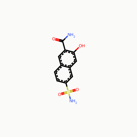 NC(=O)c1cc2ccc(S(N)(=O)=O)cc2cc1O